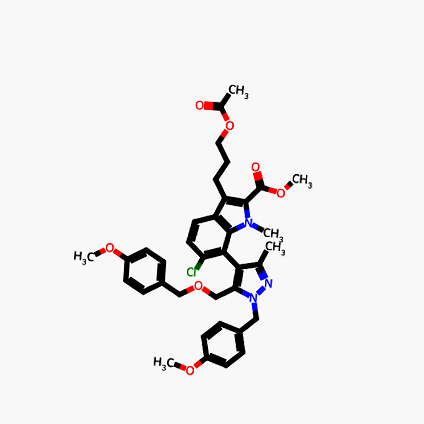 COC(=O)c1c(CCCOC(C)=O)c2ccc(Cl)c(-c3c(C)nn(Cc4ccc(OC)cc4)c3COCc3ccc(OC)cc3)c2n1C